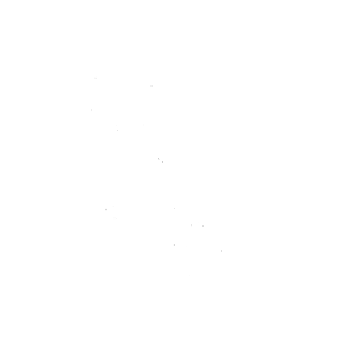 C=CN(CC[Si](OC)(OC)OC)Cc1ccccc1.Cl